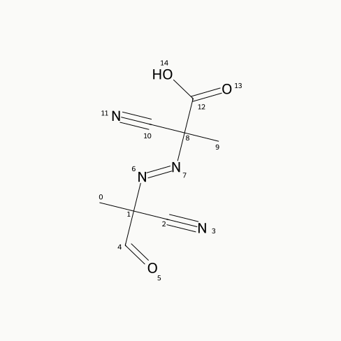 CC(C#N)(C=O)N=NC(C)(C#N)C(=O)O